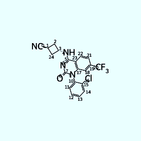 N#C[C@H]1C[C@H](Nc2nc(=O)n(-c3ccccc3Cl)c3cc(C(F)(F)F)ccc23)C1